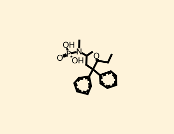 CCC(=O)C(CC(C)N(C)P(=O)(O)O)(c1ccccc1)c1ccccc1